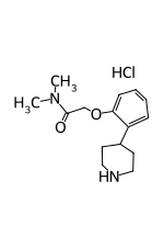 CN(C)C(=O)COc1ccccc1C1CCNCC1.Cl